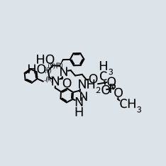 CCOP1OC(C)(COCCCCN2C(=O)N(Cc3ccc4[nH]nc(N)c4c3)[C@H](Cc3ccccc3)[C@H](O)[C@@H](O)[C@H]2Cc2ccccc2)O1